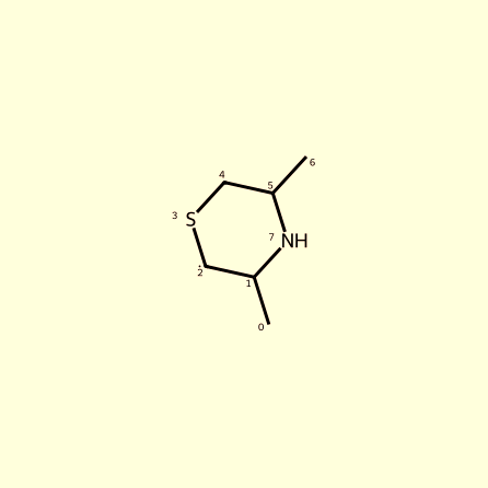 CC1[CH]SCC(C)N1